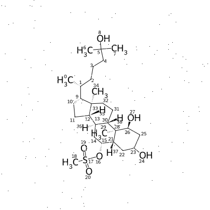 C[C@H](CCCC(C)(C)O)[C@H]1CC[C@H]2[C@@H]3C[C@@H](OS(C)(=O)=O)[C@H]4CC(O)C[C@H](O)[C@]4(C)[C@H]3CC[C@]12C